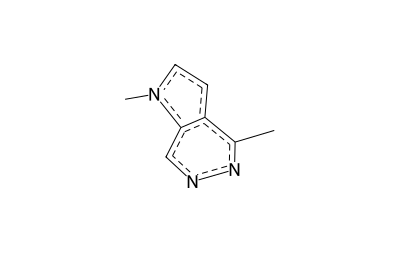 Cc1nncc2c1ccn2C